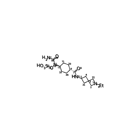 CCN1CC2(CC(NC(=O)[C@H]3CC[C@H](N(OS(=O)(=O)O)C(N)=O)CC3)C2)C1